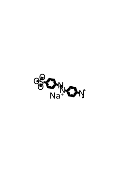 CN(C)c1ccc(/N=N/c2ccc(S(=O)(=O)[O-])cc2)cc1.[Na+]